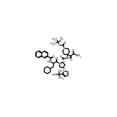 CC(C)(C)OC(=O)N1CCC(NC(=O)[C@@H]2C[C@H](n3nncc3C(C)(C)O)CN2C(=O)C(CC2CCCCC2)NC(=O)c2ccc3ccccc3c2)(C(=O)C(N)=O)CC1